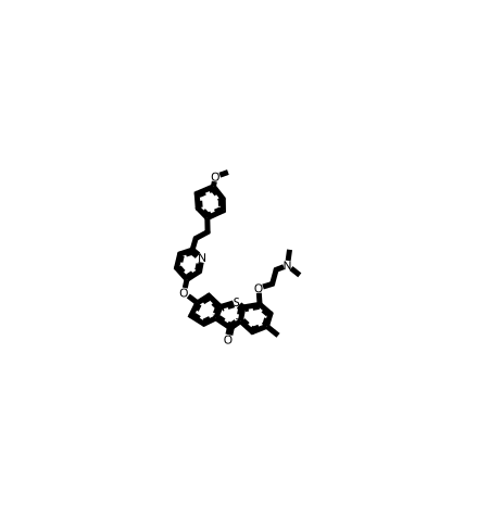 COc1ccc(CCc2ccc(Oc3ccc4c(=O)c5cc(C)cc(OCCN(C)C)c5sc4c3)cn2)cc1